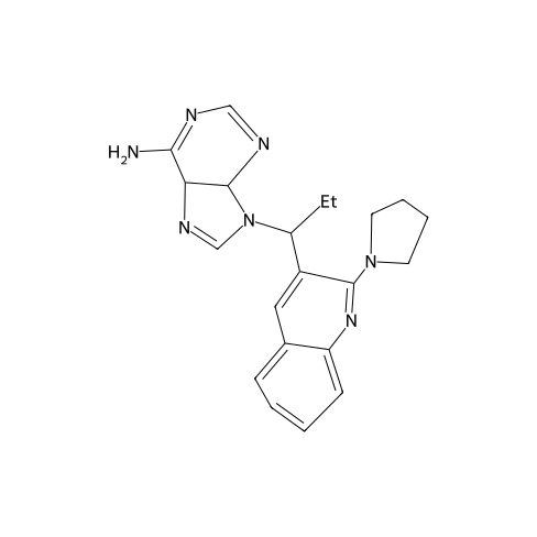 CCC(c1cc2ccccc2nc1N1CCCC1)N1C=NC2C(N)=NC=NC21